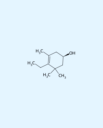 CCC1=C(C)C[C@@H](O)CC1(C)C